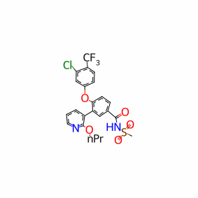 CCCOc1ncccc1-c1cc(C(=O)NS(C)(=O)=O)ccc1Oc1ccc(C(F)(F)F)c(Cl)c1